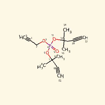 C#CCOP(=O)(OC(C)(C)C#C)OC(C)(C)C#C